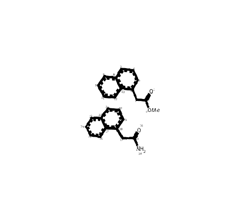 COC(=O)Cc1cccc2ccccc12.NC(=O)Cc1cccc2ccccc12